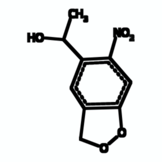 CC(O)c1cc2c(cc1[N+](=O)[O-])OOC2